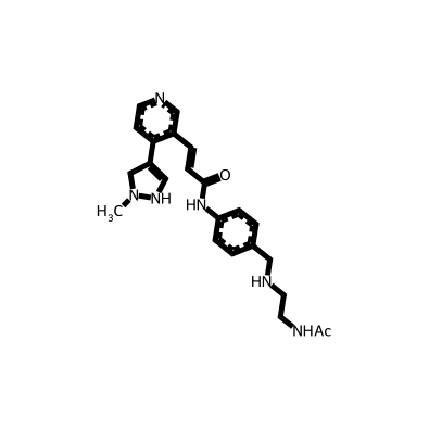 CC(=O)NCCNCc1ccc(NC(=O)/C=C/c2cnccc2C2=CNN(C)C2)cc1